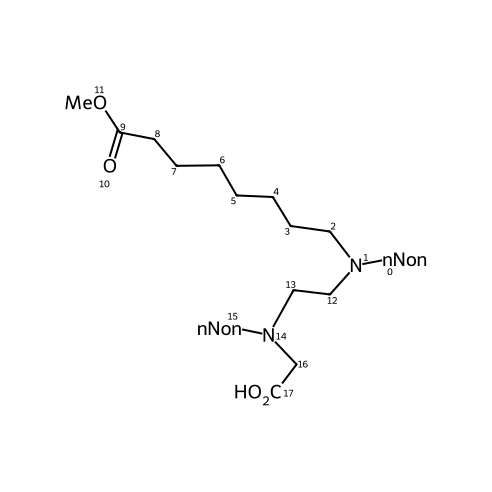 CCCCCCCCCN(CCCCCCCC(=O)OC)CCN(CCCCCCCCC)CC(=O)O